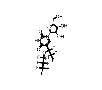 O=c1[nH]c(=O)n([C@@H]2O[C@H](CO)[C@@H](O)[C@H]2O)cc1C(F)(OC(F)(F)C(F)(F)C(F)(F)F)C(F)(F)F